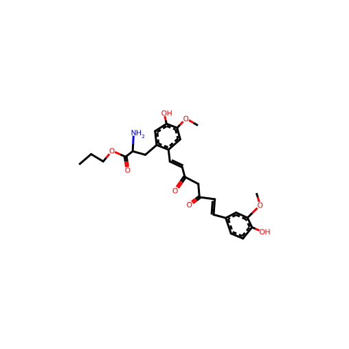 CCCOC(=O)C(N)Cc1cc(O)c(OC)cc1/C=C/C(=O)CC(=O)/C=C/c1ccc(O)c(OC)c1